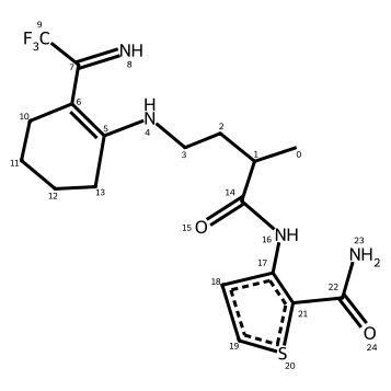 CC(CCNC1=C(C(=N)C(F)(F)F)CCCC1)C(=O)Nc1ccsc1C(N)=O